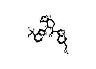 COCc1ccc2c(C(=O)N3CCc4[nH]cnc4[C@@H]3c3cc4c(C(F)(F)F)cccn4n3)cnn2c1